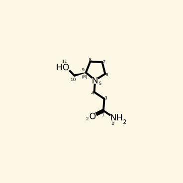 NC(=O)CCN1CCC[C@@H]1CO